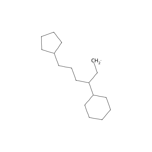 [CH2]CC(CCCC1CCCC1)C1CCCCC1